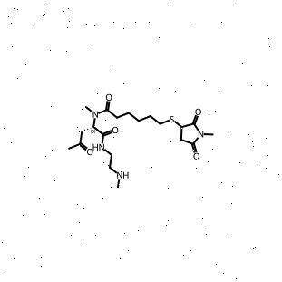 CNCCNC(=O)[C@H](CC(C)=O)N(C)C(=O)CCCCCSC1CC(=O)N(C)C1=O